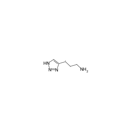 NCC[CH]c1c[nH]nn1